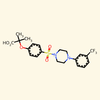 CC(C)(Oc1ccc(S(=O)(=O)N2CCN(c3cccc(C(F)(F)F)c3)CC2)cc1)C(=O)O